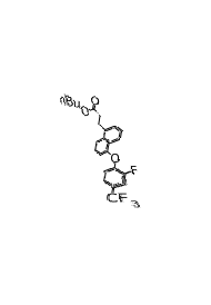 CCCCOC(=O)CCc1cccc2c(Oc3ccc(C(F)(F)F)cc3F)cccc12